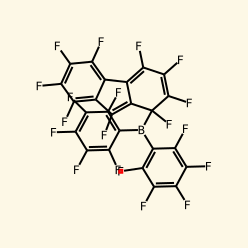 FC1=C2C(=C(F)c3c(F)c(F)c(F)c(F)c32)C(F)(B(c2c(F)c(F)c(F)c(F)c2F)c2c(F)c(F)c(F)c(F)c2F)C(F)=C1F